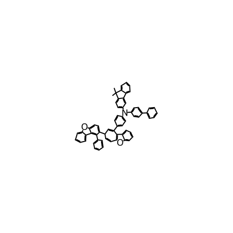 CC1(C)c2ccccc2-c2cc(N(c3ccc(C4=CC(c5ccc6oc7ccccc7c6c5-c5ccccc5)C=Cc5oc6ccccc6c54)cc3)c3ccc(-c4ccccc4)cc3)ccc21